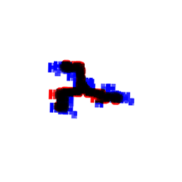 Nc1nc2ncc(CNc3ccc(C(=O)N[C@@H](CCC(=O)NCCOCCOCCNC(=O)CCOCC(N)(COCCC(=O)NCCOCCOCCNC(=O)CC[C@H](NC(=O)c4ccc(NCc5cnc6nc(N)[nH]c(=O)c6n5)cc4)C(=O)O)COCCC(=O)NCCOCCOCCNC(=O)CC[C@H](NC(=O)c4ccc(NCc5cnc6nc(N)[nH]c(=O)c6n5)cc4)C(=O)O)C(=O)O)cc3)nc2c(=O)[nH]1